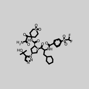 CC(C)(O)c1cnnn1[C@H]1C[C@@H](C(=O)NC2(C(=O)C(N)=O)CCS(=O)(=O)CC2)N(C(=O)C(CC2CCCCC2)NC(=O)c2ccc(S(=O)(=O)C(F)F)cc2)C1